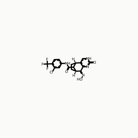 O=C(Nc1ccc(C(F)(F)F)c(Cl)c1)C1[C@@H]2CC[C@H]1/C(=N\O)c1nc(=O)[nH]cc12